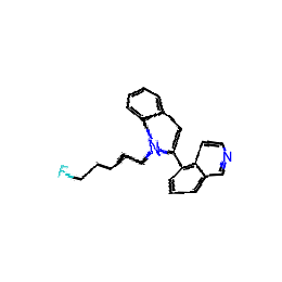 FCCCCCn1c(-c2cccc3cnccc23)cc2ccccc21